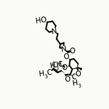 CO[C@@H]1[C@H](OC(=O)N2CC(CCN3CCC(O)CC3)C2)CC[C@]2(CO2)[C@H]1[C@@]1(C)O[C@@H]1CC=C(C)C